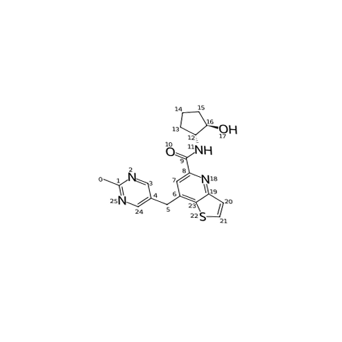 Cc1ncc(Cc2cc(C(=O)N[C@@H]3CCC[C@H]3O)nc3ccsc23)cn1